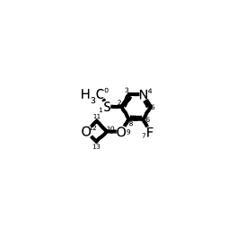 CSc1cncc(F)c1OC1COC1